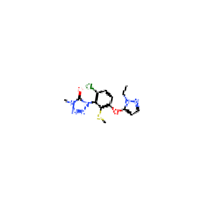 CCn1nccc1Oc1ccc(Cl)c(-n2nnn(C)c2=O)c1SC